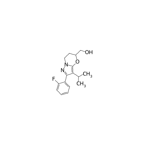 CC(C)c1c(-c2ccccc2F)nn2c1OC(CO)CC2